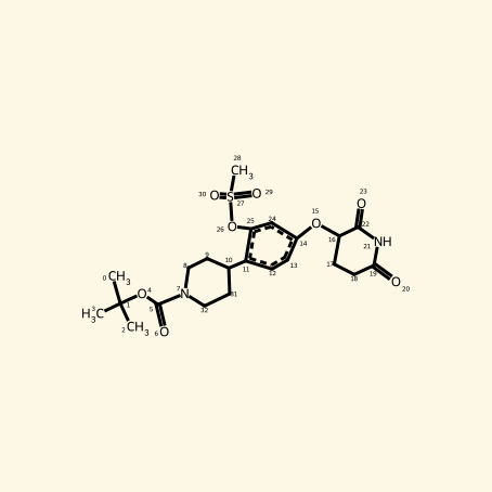 CC(C)(C)OC(=O)N1CCC(c2ccc(OC3CCC(=O)NC3=O)cc2OS(C)(=O)=O)CC1